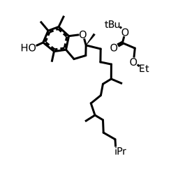 CCOCC(=O)OC(C)(C)C.Cc1c(C)c2c(c(C)c1O)CC[C@@](C)(CCCC(C)CCCC(C)CCCC(C)C)O2